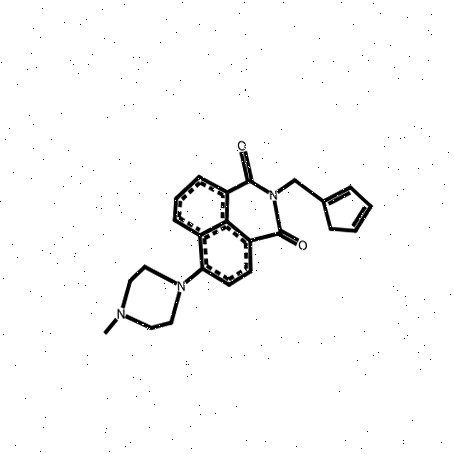 CN1CCN(c2ccc3c4c(cccc24)C(=O)N(CC2=CC=CC2)C3=O)CC1